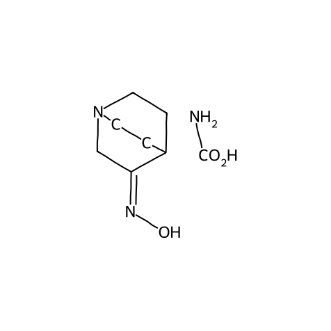 NC(=O)O.ON=C1CN2CCC1CC2